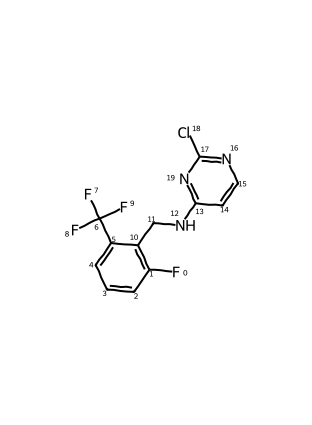 Fc1cccc(C(F)(F)F)c1CNc1ccnc(Cl)n1